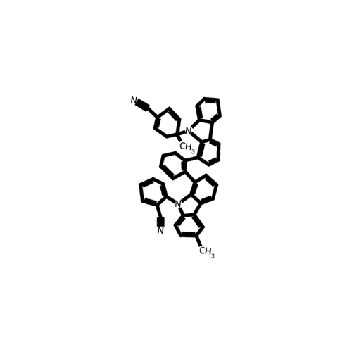 Cc1ccc2c(c1)c1cccc(C3=C(c4cccc5c6ccccc6n(C6(C)C=CC(C#N)=CC6)c45)CCC=C3)c1n2-c1ccccc1C#N